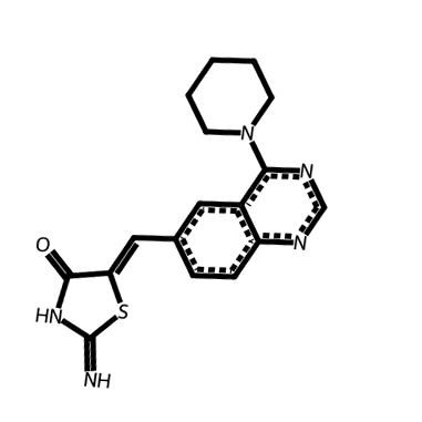 N=C1NC(=O)/C(=C/c2ccc3ncnc(N4CCCCC4)c3c2)S1